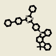 CC1(C)c2ccccc2-c2c1ccc1c2c2ccccc2n1-c1ccc(-c2nc(-c3ccccc3)nc(-c3ccc(-c4ccccc4)cc3)n2)cc1